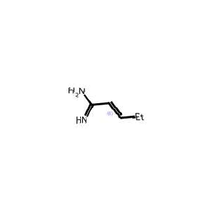 CC/C=C/C(=N)N